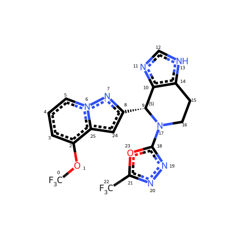 FC(F)(F)Oc1cccn2nc([C@@H]3c4nc[nH]c4CCN3c3nnc(C(F)(F)F)o3)cc12